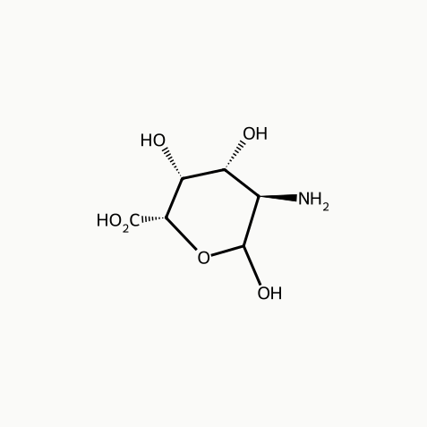 N[C@H]1C(O)O[C@H](C(=O)O)[C@H](O)[C@@H]1O